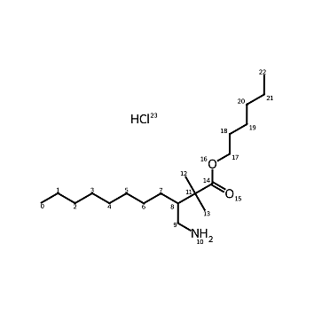 CCCCCCCCC(CN)C(C)(C)C(=O)OCCCCCC.Cl